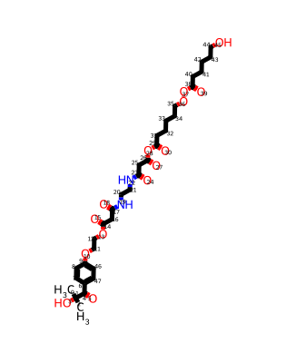 CC(C)(O)C(=O)c1ccc(OCCOC(=O)CC(=O)NCCNC(=O)CC(=O)OC(=O)CCCCCOOC(=O)CCCCCO)cc1